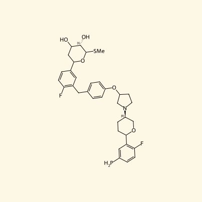 CSC1OC(c2ccc(F)c(Cc3ccc(OC4CCN([C@@H]5CCC(c6cc(P)ccc6F)OC5)C4)cc3)c2)CC(O)[C@@H]1O